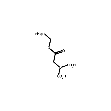 CCCCCCCCOC(=O)CN(C(=O)O)C(=O)O